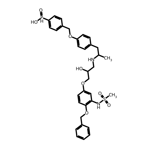 CC(Cc1ccc(OCc2ccc([PH](=O)O)cc2)cc1)NCC(O)COc1ccc(OCc2ccccc2)c(NS(C)(=O)=O)c1